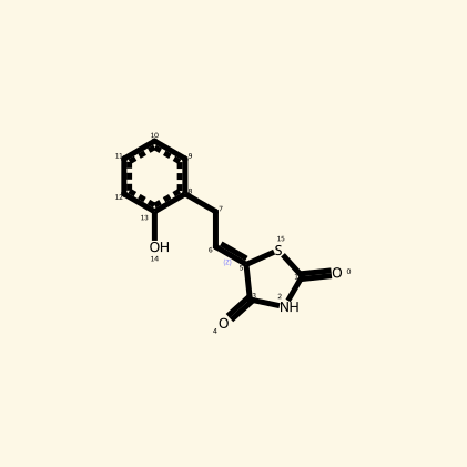 O=C1NC(=O)/C(=C/Cc2ccccc2O)S1